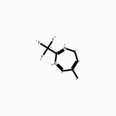 CC1=CCN=C(C(F)(F)F)N=C1